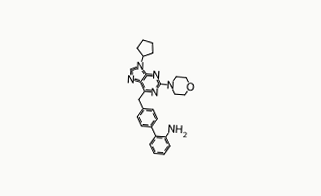 Nc1ccccc1-c1ccc(Cc2nc(N3CCOCC3)nc3c2ncn3C2CCCC2)cc1